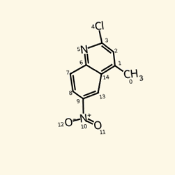 Cc1cc(Cl)nc2ccc([N+](=O)[O-])cc12